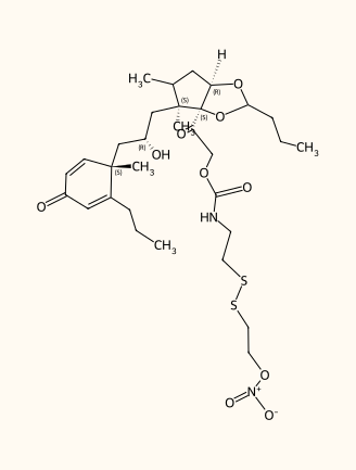 CCCC1=CC(=O)C=C[C@]1(C)C[C@@H](O)C[C@@]1(C)C(C)C[C@H]2OC(CCC)O[C@]21C(=O)COC(=O)NCCSSCCO[N+](=O)[O-]